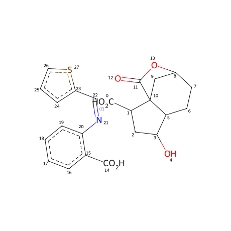 O=C(O)C1CC(O)C2CCC3CC12C(=O)O3.O=C(O)c1ccccc1/N=C\c1cccs1